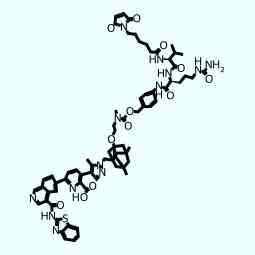 Cc1c(-c2ccc(-c3ccc4cncc(C(=O)Nc5nc6ccccc6s5)c4c3)nc2C(=O)O)cnn1CC12CC3(C)CC(C)(C1)CC(OCCN(C)C(=O)OCc1ccc(NC(=O)[C@H](CCCNC(N)=O)NC(=O)[C@@H](NC(=O)CCCCCN4C(=O)C=CC4=O)C(C)C)cc1)(C3)C2